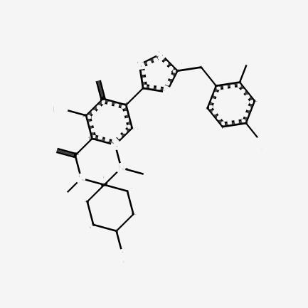 CCN1C(=O)c2c(O)c(=O)c(-c3nnc(Cc4ccc(F)cc4F)s3)cn2N(C)C12CCC(C(C)=O)CC2